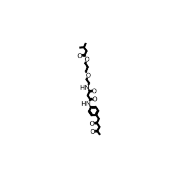 CC(=O)CC(=O)Cc1ccc(NC(=O)CC(=O)NCCOCCCOC(=O)CC(C)C)cc1